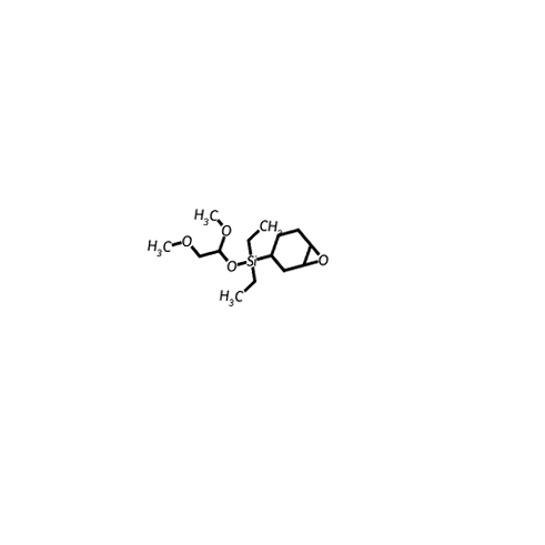 CC[Si](CC)(OC(COC)OC)C1CCC2OC2C1